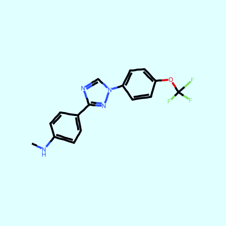 CNc1ccc(-c2ncn(-c3ccc(OC(F)(F)F)cc3)n2)cc1